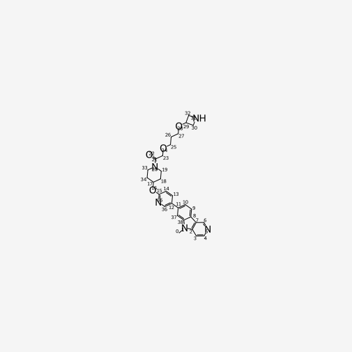 Cn1c2ccncc2c2ccc(-c3ccc(OC4CCN(C(=O)COCCCOC5CNC5)CC4)nc3)cc21